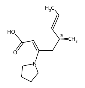 CC=C[C@@H](C)CC(=CC(=O)O)N1CCCC1